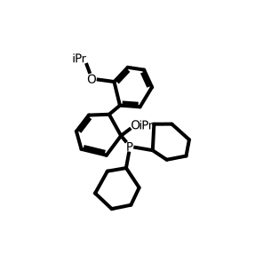 CC(C)Oc1ccccc1C1C=CC=CC1(OC(C)C)P(C1CCCCC1)C1CCCCC1